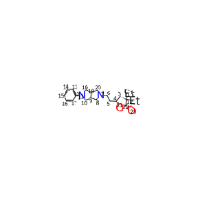 CCC1(CC)CC(CCN2CC3CN(c4ccccc4)CC3C2)OC1=O